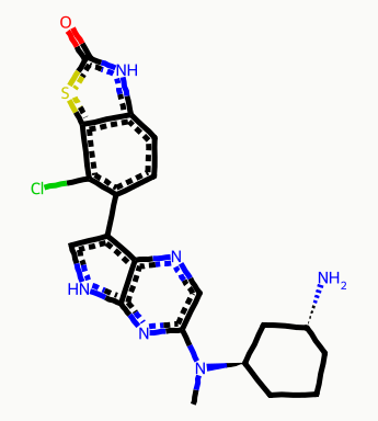 CN(c1cnc2c(-c3ccc4[nH]c(=O)sc4c3Cl)c[nH]c2n1)[C@@H]1CCC[C@@H](N)C1